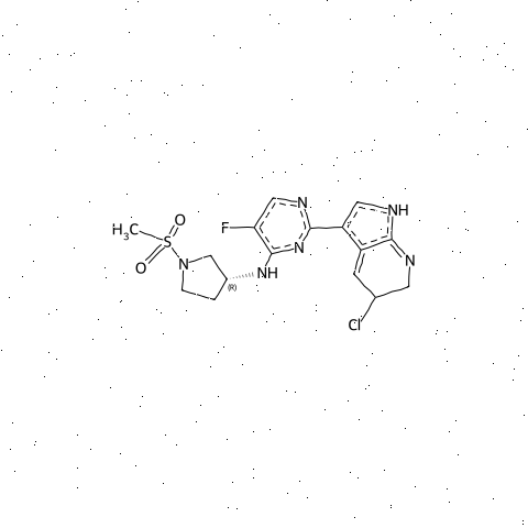 CS(=O)(=O)N1CC[C@@H](Nc2nc(-c3c[nH]c4c3=CC(Cl)CN=4)ncc2F)C1